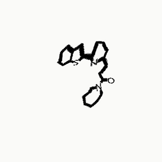 O=C(C=Cc1cccc(-c2cc3ccccc3s2)n1)N1CCCCC1